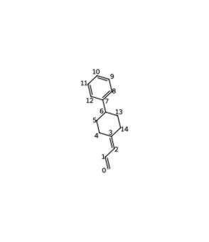 C=CC=C1CCC(c2ccccc2)CC1